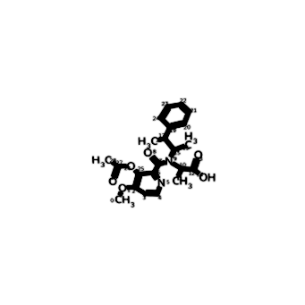 COc1ccnc(C(=O)N(C(C)C(=O)O)C(C)C(C)c2ccccc2)c1OC(C)=O